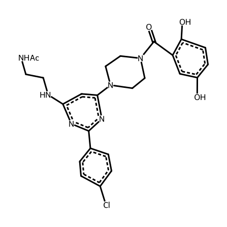 CC(=O)NCCNc1cc(N2CCN(C(=O)c3cc(O)ccc3O)CC2)nc(-c2ccc(Cl)cc2)n1